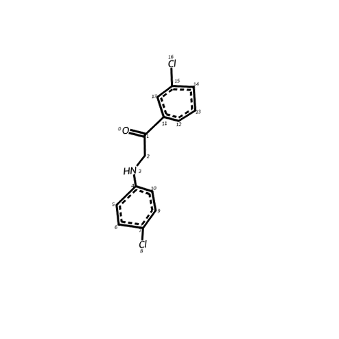 O=C(CNc1ccc(Cl)cc1)c1cccc(Cl)c1